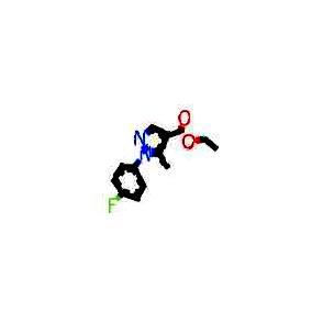 CCOC(=O)c1cnn(-c2ccc(F)cc2)c1C